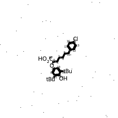 CC(C)(C)c1cc(OC(CCCCCc2ccc(Cl)cc2)C(=O)O)cc(C(C)(C)C)c1O